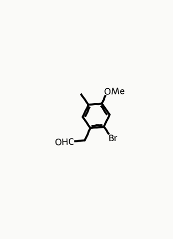 COc1cc(Br)c(CC=O)cc1C